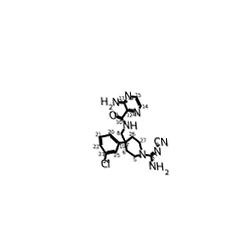 N#C/N=C(/N)N1CCC(CNC(=O)c2nccnc2N)(c2cccc(Cl)c2)CC1